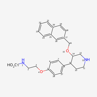 O=C(O)NCCOc1ccc(C2CCNCC2OCc2ccc3ccccc3c2)cc1